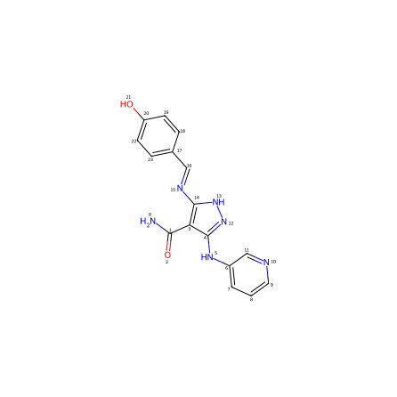 NC(=O)c1c(Nc2cccnc2)n[nH]c1N=Cc1ccc(O)cc1